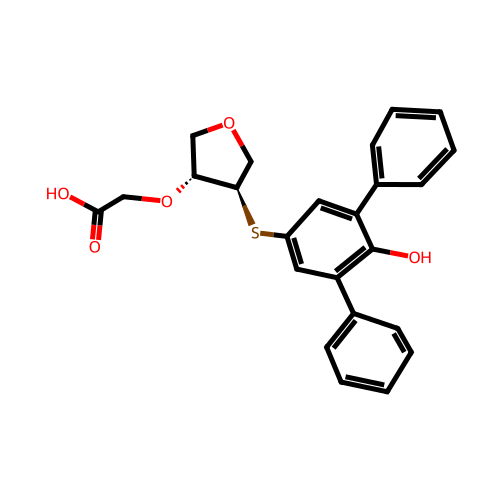 O=C(O)CO[C@@H]1COC[C@H]1Sc1cc(-c2ccccc2)c(O)c(-c2ccccc2)c1